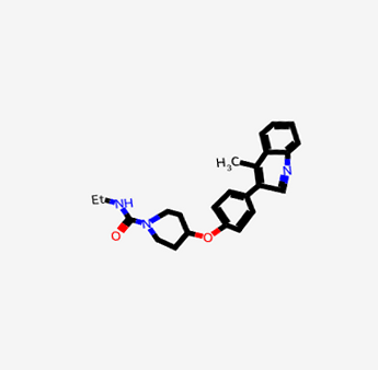 CCNC(=O)N1CCC(Oc2ccc(-c3cnc4ccccc4c3C)cc2)CC1